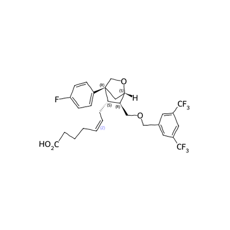 O=C(O)CCC/C=C\C[C@H]1[C@H](COCc2cc(C(F)(F)F)cc(C(F)(F)F)c2)[C@@H]2C[C@@]1(c1ccc(F)cc1)CO2